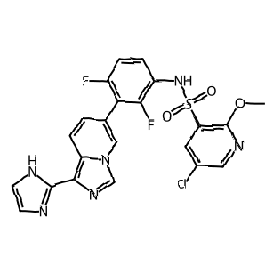 COc1ncc(Cl)cc1S(=O)(=O)Nc1ccc(F)c(-c2ccc3c(-c4ncc[nH]4)ncn3c2)c1F